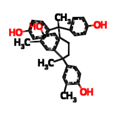 Cc1cc(C(C)(CCCC(C)(c2ccc(O)cc2)c2ccc(O)cc2)c2ccc(O)c(C)c2)ccc1O